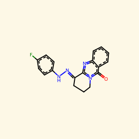 O=c1c2ccccc2nc2n1CCC/C2=N\Nc1ccc(F)cc1